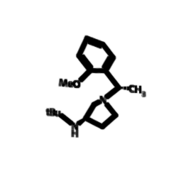 COc1ccccc1[C@H](C)N1CC[C@@H](NC(C)(C)C)C1